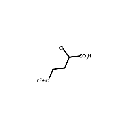 CCCCCCCC(Cl)S(=O)(=O)O